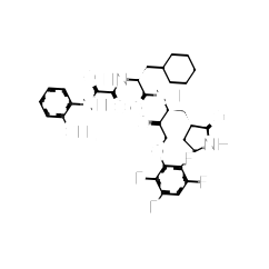 Cc1ccccc1NC(=O)C(=O)N[C@@H](CC1CCCCC1)C(=O)N[C@@H](C[C@@H]1CCNC1=O)C(=O)COc1c(F)c(F)cc(F)c1F